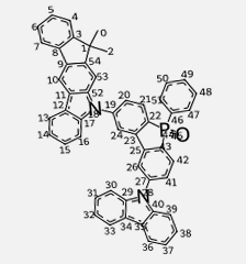 CC1(C)c2ccccc2-c2cc3c4ccccc4n(-c4ccc5c(c4)-c4cc(-n6c7ccccc7c7ccccc76)ccc4P5(=O)c4ccccc4)c3cc21